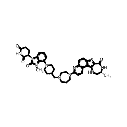 C[C@@H]1CNc2c(sc3ccc4nc(N5CCCN(CC6CCN(c7cccc8c7n(C)c(=O)n8C7CCC(=O)NC7=O)CC6)CC5)ccc4c23)C(=O)N1